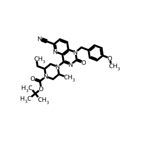 CCC1CN(c2nc(=O)n(Cc3ccc(OC)cc3)c3ccc(C#N)nc23)C(C)CN1C(=O)OC(C)(C)C